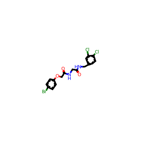 O=C(CNC(=O)COc1ccc(Br)cc1)NCc1ccc(Cl)c(Cl)c1